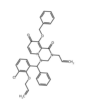 C=CCOc1c(Cl)cccc1C(c1ccccc1)N1CN(CC=C)C(=O)c2c(OCc3ccccc3)c(=O)ccn21